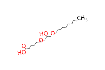 CCCCCCCCCCOCC(O)COCCCCCC(=O)O